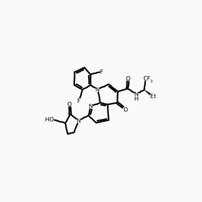 CC[C@@H](NC(=O)c1cn(-c2c(F)cccc2F)c2nc(N3CCC(O)C3=O)ccc2c1=O)C(F)(F)F